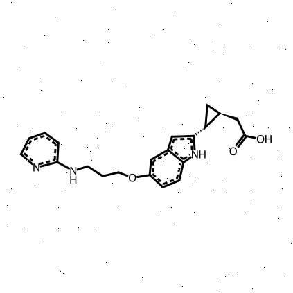 O=C(O)C[C@@H]1C[C@H]1c1cc2cc(OCCCNc3ccccn3)ccc2[nH]1